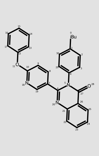 CCC(C)c1ccc(-n2c(-c3ccc(Oc4ccccc4)nc3)nc3ccccc3c2=O)cc1